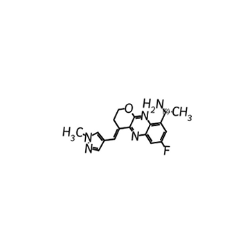 C[C@@H](N)c1cc(F)cc2nc3c(nc12)OCCC3=Cc1cnn(C)c1